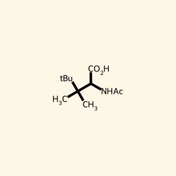 CC(=O)NC(C(=O)O)C(C)(C)C(C)(C)C